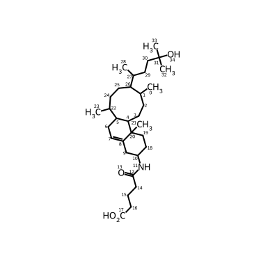 CC1CCC2C(CC=C3CC(NC(=O)CCCC(=O)O)CCC32C)C(C)CCC1C(C)CCC(C)(C)O